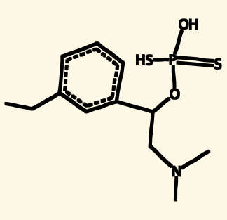 CCc1cccc(C(CN(C)C)OP(O)(=S)S)c1